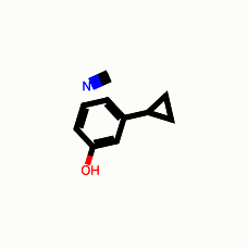 C#N.Oc1cccc(C2CC2)c1